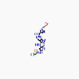 COCCn1cc(Nc2ncc3c(Nc4cc(NC(=O)CCl)cnc4C)nn(C)c3n2)cn1